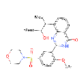 CCCCCC(O)C(OC)c1cccc2c(=O)[nH]c(-c3cc(S(=O)(=O)N4CCOCC4)ccc3OCCC)nc12